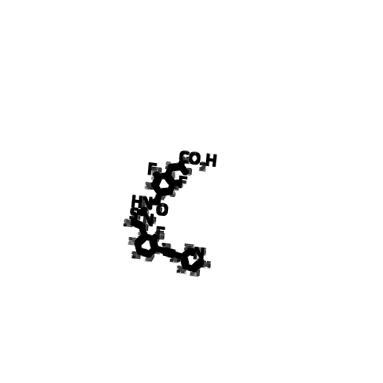 C/C(=C\c1c(F)cc(C(=O)Nc2nc(-c3cccc(C#Cc4cccnc4)c3F)cs2)cc1F)C(=O)O